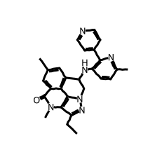 CCc1nn2c3c4c(cc(C)cc4c(=O)n(C)c13)C(Nc1ccc(C)nc1-c1ccncc1)C2